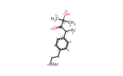 CCCCCCCCCCCCc1ccc(C(C(C)=O)C(=O)C(C)(C)O)cc1